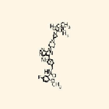 COc1ccc(F)cc1C(=O)NCc1ccc(-c2nn(C3CCN(C4CN(C(=O)OC(C)(C)C)C4)CC3)c3ncnc(N)c23)cc1